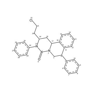 O=C1N2CC(c3ccccc3)c3ccccc3C2CC(CCCl)N1c1ccccc1